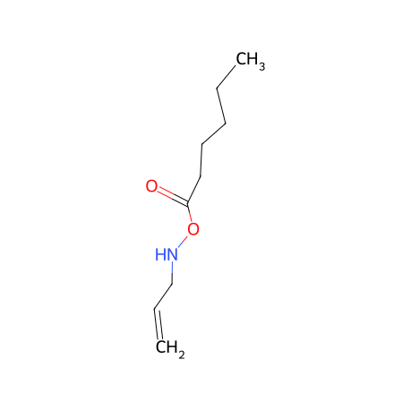 C=CCNOC(=O)CCCCC